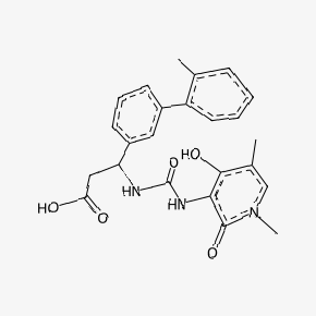 Cc1ccccc1-c1cccc(C(CC(=O)O)NC(=O)Nc2c(O)c(C)cn(C)c2=O)c1